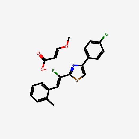 COC=CC(=O)O.Cc1ccccc1C=C(F)c1nc(-c2ccc(Br)cc2)cs1